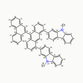 CCn1c2ccccc2c2ccc(-c3cccc4c(-c5cc6ccccc6c6ccccc56)c5cccc(-c6ccc7c8ccccc8n(CC)c7c6)c5cc34)cc21